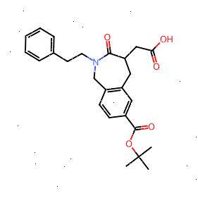 CC(C)(C)OC(=O)c1ccc2c(c1)CC(CC(=O)O)C(=O)N(CCc1ccccc1)C2